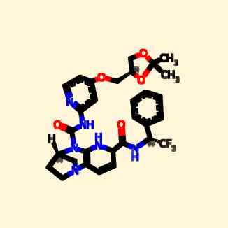 CC1(C)OC[C@H](COc2ccnc(NC(=O)N3C4=C(C=CC(C(=O)N[C@H](c5ccccc5)C(F)(F)F)N4)N4CC[C@H]3C4)c2)O1